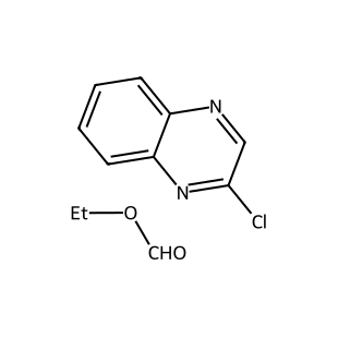 CCOC=O.Clc1cnc2ccccc2n1